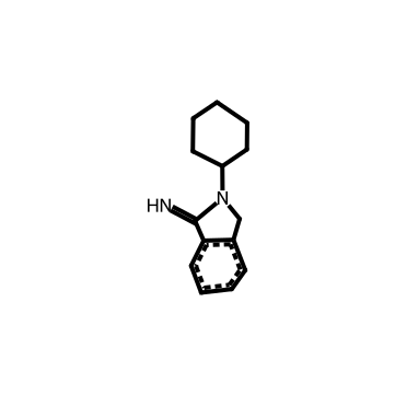 N=C1c2ccccc2CN1C1CCCCC1